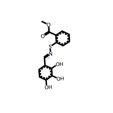 COC(=O)c1ccccc1S/N=C/c1ccc(O)c(O)c1O